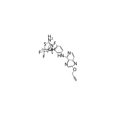 C#CCOc1cnc2c(Nc3ccc(F)c([C@@]4(C)N=C(N)S[C@]5(C(C)(C)O)C4C5(F)F)c3)nccc2n1